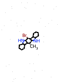 Cc1c2[nH]c3ccccc3c2c(Br)c2[nH]c3ccccc3c12